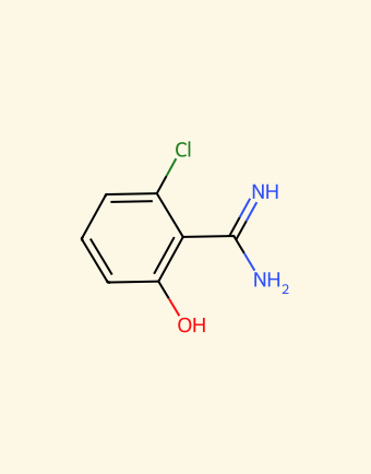 N=C(N)c1c(O)cccc1Cl